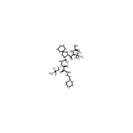 CC(F)(F)CC[C@H](NC(=O)[C@@H]1CC2(CCCCC2)CN1C(=O)[C@@H](NC(=O)O)C(C)(C)C)C(=O)C(=O)NCCN1CCOCC1